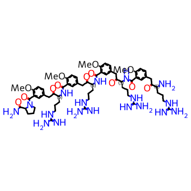 COc1ccc(CC(=O)[C@H](CCCNC(=N)N)NC(=O)c2cc(CC(=O)[C@@H](N)CCCNC(=N)N)ccc2OC)cc1C(=O)N[C@@H](CCCNC(=N)N)C(=O)Cc1ccc(OC)c(C(=O)N[C@@H](CCCNC(=N)N)C(=O)Cc2ccc(OC)c(C(=O)N3CCCC3C(N)=O)c2)c1